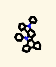 c1ccc(-n2c3ccccc3c3c2ccc2c4c5ccccc5c5ccccc5c4n(-c4ccccc4)c23)cc1